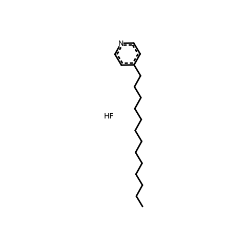 CCCCCCCCCCCCCc1ccncc1.F